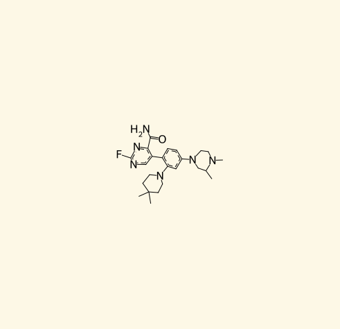 CC1CN(c2ccc(-c3cnc(F)nc3C(N)=O)c(N3CCC(C)(C)CC3)c2)CCN1C